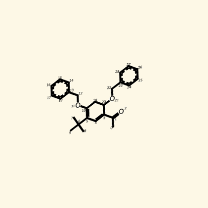 CC(=O)C1=CC(C(C)(C)C)=C(OCc2ccccc2)CC1OCc1ccccc1